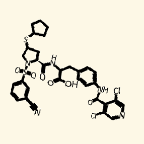 N#Cc1cccc(S(=O)(=O)N2CC(SC3CCCC3)C[C@H]2C(=O)NC(Cc2ccc(NC(=O)c3c(Cl)cncc3Cl)cc2)C(=O)O)c1